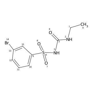 CCNC(=O)NS(=O)(=O)c1cccc(Br)c1